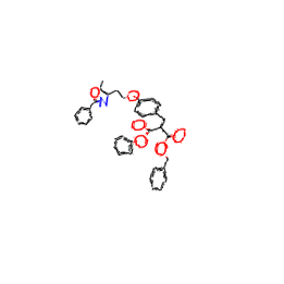 Cc1oc(-c2ccccc2)nc1CCOc1ccc(CC(C(=O)OCc2ccccc2)C(=O)Oc2ccccc2)cc1